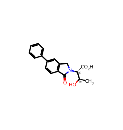 C[C@@H](O)[C@@H](C(=O)O)N1Cc2cc(-c3ccccc3)ccc2C1=O